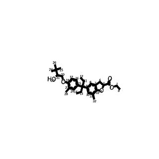 CCOC(=O)C1Cc2cc(C(CC)(CC)c3ccc(OCC(O)C(C)(C)C)c(C)c3)cc(C)c2O1